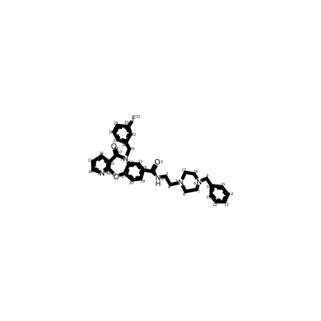 O=C(NCCN1CCN(Cc2ccccc2)CC1)c1ccc2c(c1)N(Cc1cccc(F)c1)C(=O)c1cccnc1O2